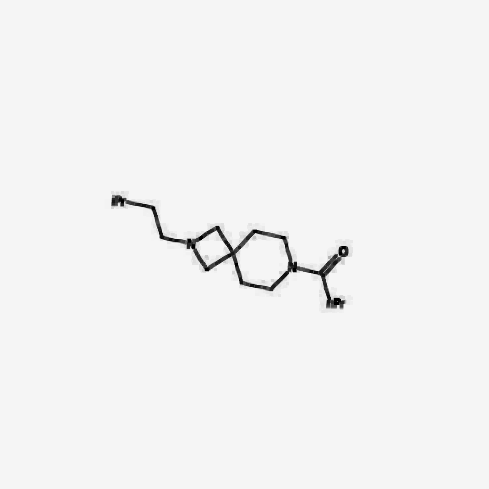 CCCC(=O)N1CCC2(CC1)CN(CCC(C)C)C2